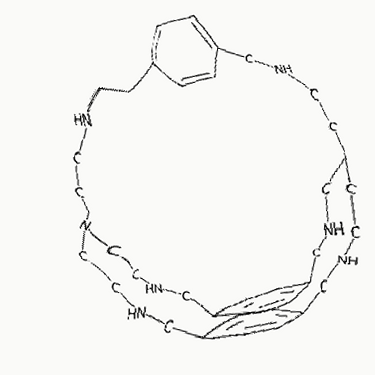 c1cc2ccc1CNCCC1CCNCc3ccc(cc3)CNCCN(CCNC2)CCNCc2ccc(cc2)CNC1